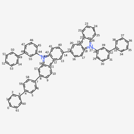 c1ccc(-c2ccc(-c3ccc4c5cc(-c6ccc7c(c6)c6ccccc6n7-c6cccc(-c7ccccc7)c6)ccc5n(-c5cccc(-c6ccccc6)c5)c4c3)cc2)cc1